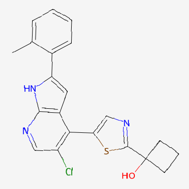 Cc1ccccc1-c1cc2c(-c3cnc(C4(O)CCC4)s3)c(Cl)cnc2[nH]1